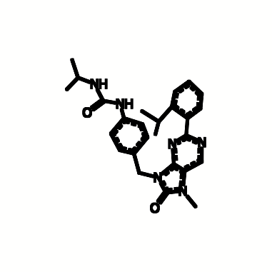 CC(C)NC(=O)Nc1ccc(Cn2c(=O)n(C)c3cnc(-c4ccccc4C(C)C)nc32)cc1